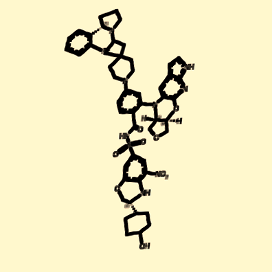 CC(C)c1ccccc1[C@@H]1CCCN1C1CC2(CCN(c3ccc(C(=O)NS(=O)(=O)c4cc5c(c([N+](=O)[O-])c4)N[C@H](C4CCC(O)CC4)CO5)c(N4c5cc6cc[nH]c6nc5O[C@H]5COC[C@@H]54)c3)CC2)C1